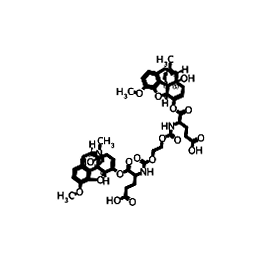 COc1ccc2c3c1O[C@H]1C(OC(=O)C(CCC(=O)O)NC(=O)OCCOC(=O)NC(CCC(=O)O)C(=O)OC4=CC[C@@]5(O)[C@H]6Cc7ccc(OC)c8c7[C@@]5(CCN6C)[C@H]4O8)=CC[C@@]4(O)[C@@H](C2)N(C)CC[C@]314